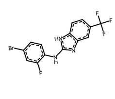 Fc1cc(Br)ccc1Nc1nc2cc(C(F)(F)F)ccc2[nH]1